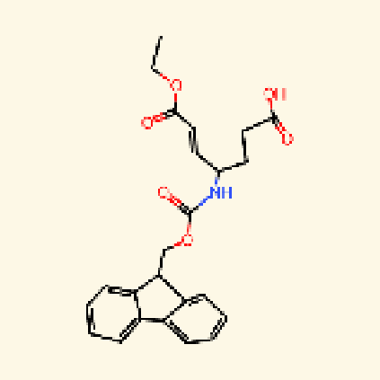 CCOC(=O)C=CC(CCC(=O)O)NC(=O)OCC1c2ccccc2-c2ccccc21